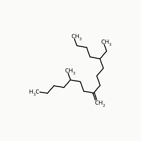 C=C(CCCC(CC)CCCC)CCC(C)CCCC